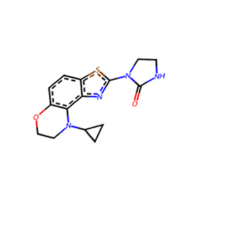 O=C1NCCN1c1nc2c3c(ccc2s1)OCCN3C1CC1